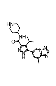 Cc1cc(-c2[nH]nc(C(=O)NC3CCNCC3)c2C(C)C)cn2ncnc12